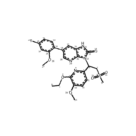 CCOc1nc(C(CS(C)(=O)=O)n2c(=O)[nH]c3cc(-c4ccc(F)cc4OC)cnc32)ccc1OC